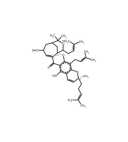 CC(C)=CCC[C@@]1(C)C=Cc2c(O)c3c(c(CC=C(C)C)c2O1)O[C@@]12CC(CC(C=O)C=C1C3=O)C(C)(C)OC2C/C=C(/C)C(=O)O